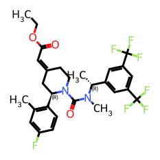 CCOC(=O)C=C1CCN(C(=O)N(C)[C@H](C)c2cc(C(F)(F)F)cc(C(F)(F)F)c2)[C@@H](c2ccc(F)cc2C)C1